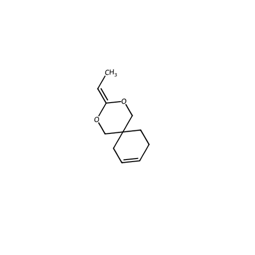 CC=C1OCC2(CC=CCC2)CO1